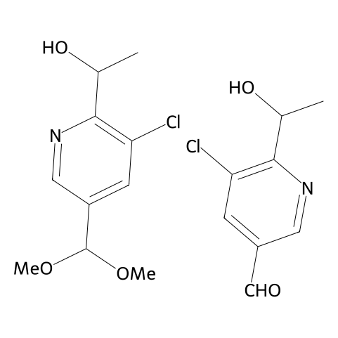 CC(O)c1ncc(C=O)cc1Cl.COC(OC)c1cnc(C(C)O)c(Cl)c1